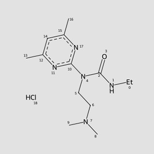 CCNC(=O)N(CCN(C)C)c1nc(C)cc(C)n1.Cl